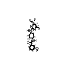 COc1cccc(C(=O)NC2CCC(Nc3nc(C)cc(N(C)C)n3)CC2)c1